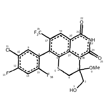 COC1(CO)CSc2c(-c3cc(Cl)c(F)cc3F)c(C(F)(F)F)cc3c(=O)[nH]c(=O)n1c23